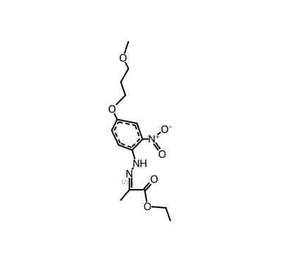 CCOC(=O)/C(C)=N\Nc1ccc(OCCCOC)cc1[N+](=O)[O-]